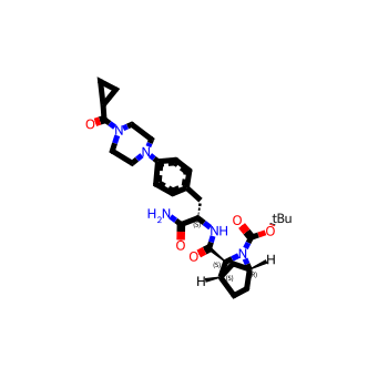 CC(C)(C)OC(=O)N1[C@@H]2CC[C@@H](C2)[C@H]1C(=O)N[C@@H](Cc1ccc(N2CCN(C(=O)C3CC3)CC2)cc1)C(N)=O